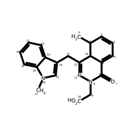 CC1C=CC=C2C(=O)N(CC(=O)O)N=C(Cc3cn(C)c4ccccc34)C21